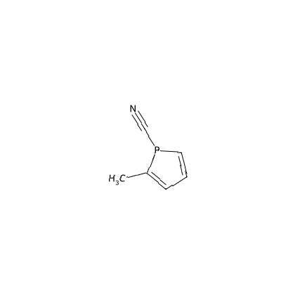 Cc1cccp1C#N